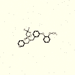 COc1ccccc1Oc1cccc(CN(Cc2cccnc2)S(=O)(=O)CC(F)(F)F)c1